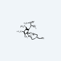 CC(C)[CH2][Al]([CH2]C(C)C)[CH2]C(C)C.CC1=C(C)C(C)(C)[C]([Ti])=C1C.[CH3][AlH][O][AlH2]